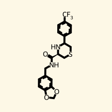 O=C(NCc1ccc2c(c1)OCO2)[C@@H]1CSCC(c2ccc(C(F)(F)F)cc2)N1